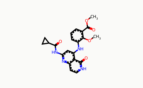 COC(=O)c1cccc(Nc2cc(NC(=O)C3CC3)nc3cc[nH]c(=O)c23)c1OC